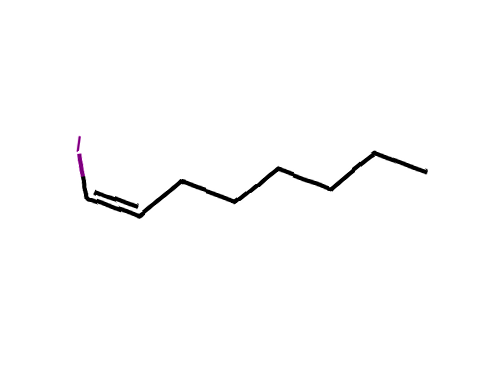 CCCCCC/C=C\I